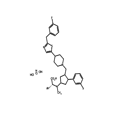 CC(C)[C@H](C(=O)O)N(C)C1CC(CN2CCC(c3cnc(Cc4cccc(F)c4)s3)CC2)C(c2cccc(F)c2)C1.Cl.Cl.Cl